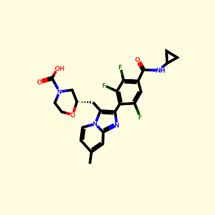 Cc1ccn2c(C[C@H]3CN(C(=O)O)CCO3)c(-c3c(F)cc(C(=O)NC4CC4)c(F)c3F)nc2c1